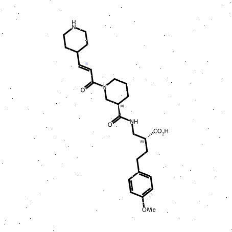 COc1ccc(CC[C@H](CNC(=O)[C@@H]2CCCN(C(=O)/C=C/C3CCNCC3)C2)C(=O)O)cc1